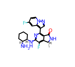 C[C@H]1NC(=O)c2c(-c3cnn4ccc(F)cc34)nc(N[C@@H]3CCCC[C@@H]3N)c(F)c21